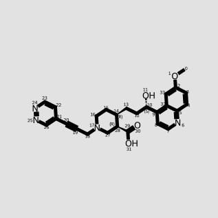 COc1ccc2nccc([C@@H](O)CC[C@@H]3CCN(CC#Cc4ccnnc4)C[C@@H]3C(=O)O)c2c1